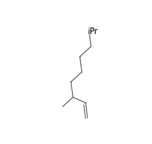 C=CC(C)CCCCC(C)C